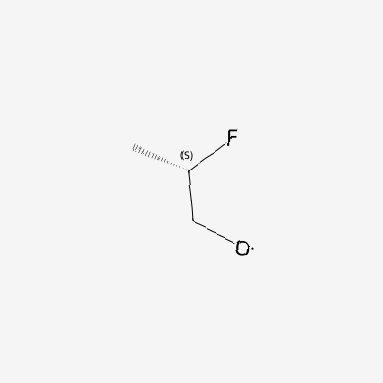 C[C@H](F)C[O]